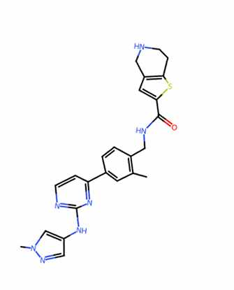 Cc1cc(-c2ccnc(Nc3cnn(C)c3)n2)ccc1CNC(=O)c1cc2c(s1)CCNC2